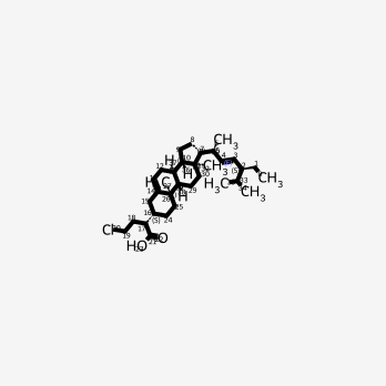 CC[C@H](/C=C/[C@@H](C)[C@H]1CC[C@H]2[C@@H]3CC=C4C[C@@H](C(CCCl)C(=O)O)CC[C@]4(C)[C@H]3CC[C@]12C)C(C)C